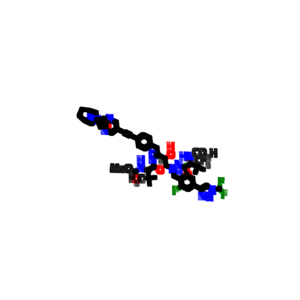 COC(=O)N[C@H](C(=O)N[C@@H](Cc1ccc(C#Cc2cnc(N3CC4CCC(C3)N4C3COC3)nc2)cc1)[C@@H](O)CN(Cc1c(F)cc(-c2cn(C(F)F)nn2)cc1F)NC(=O)[C@@H](NC(=O)O)C(C)(C)C(F)(F)F)C(C)(C)C(F)(F)F